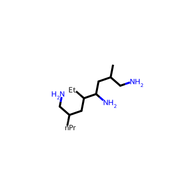 CCCC(CN)CC(CC)C(N)CC(C)CN